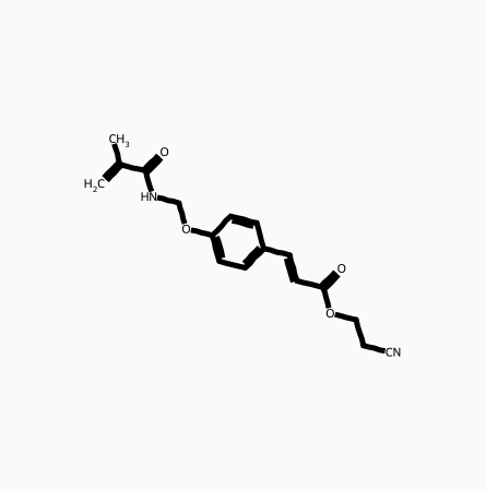 C=C(C)C(=O)NCOc1ccc(/C=C/C(=O)OCCC#N)cc1